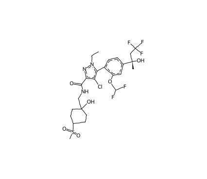 CCn1nc(C(=O)NCC2(O)CCC(S(C)(=O)=O)CC2)c(Cl)c1-c1ccc([C@@](C)(O)CC(F)(F)F)cc1OC(F)F